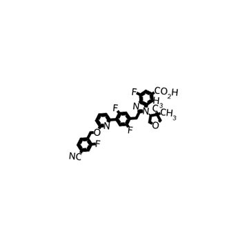 CC1(C)COC[C@@H]1n1c(Cc2cc(F)c(-c3cccc(OCc4ccc(C#N)cc4F)n3)cc2F)nc2c(F)cc(C(=O)O)cc21